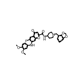 COc1ccc(Nc2cc3oc(C(=O)NC4CCN(Cc5cccc6c5OCO6)CC4)cc(=O)c3cc2F)cc1OC